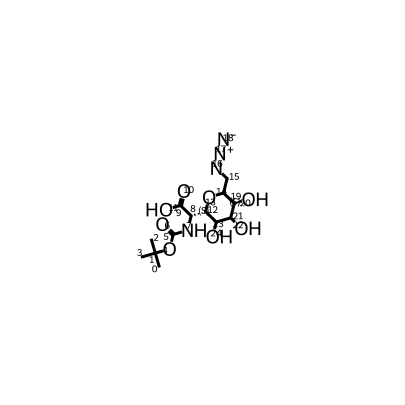 CC(C)(C)OC(=O)NC(C(=O)O)[C@@H]1OC(CN=[N+]=[N-])[C@@H](O)C(O)C1O